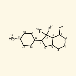 FC1CCCC2CC(C3CCC(S)CC3)C(F)(F)C12